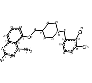 Nc1nc(N)c2c(OCC3CCN(Cc4cccc(Cl)c4Cl)CC3)cccc2n1